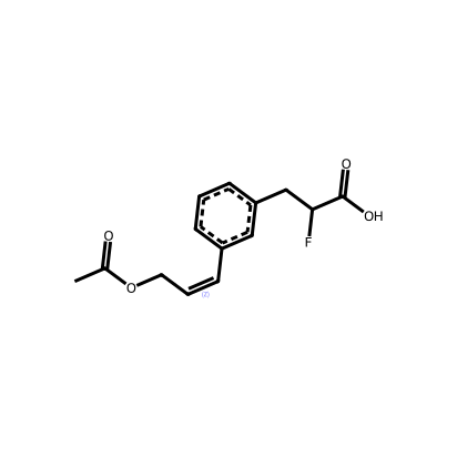 CC(=O)OC/C=C\c1cccc(CC(F)C(=O)O)c1